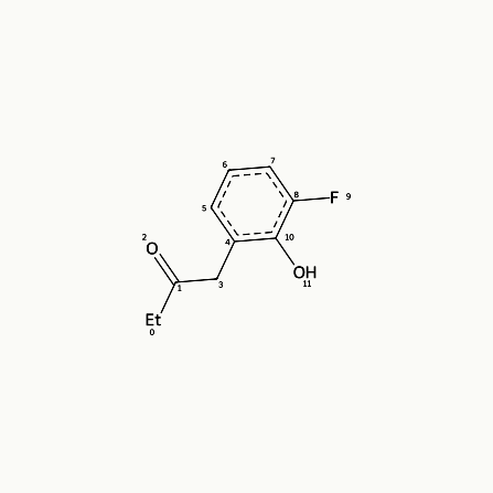 CCC(=O)Cc1cccc(F)c1O